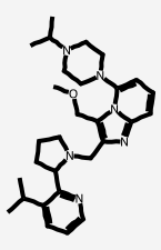 COCc1c(CN2CCCC2c2ncccc2C(C)C)nc2cccc(N3CCN(C(C)C)CC3)n12